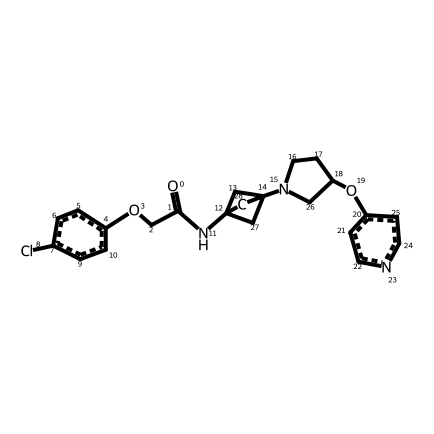 O=C(COc1ccc(Cl)cc1)NC12CC(N3CCC(Oc4ccncc4)C3)(C1)C2